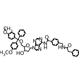 COc1ccc(C(OCC2OC(n3cnc4c(NC(=O)c5ccc(CNC(=O)Cc6ccccc6)cc5)ncnc43)CC2O)(c2ccccc2)c2ccc(OC)cc2)cc1